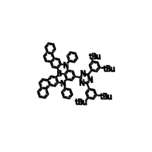 CC(C)(C)c1cc(-c2nc(-c3cc(C(C)(C)C)cc(C(C)(C)C)c3)nc(-c3cc4c5c(c3)N(c3ccccc3)c3cc6c(ccc7ccccc76)cc3B5c3cc5ccc6ccccc6c5cc3N4c3ccccc3)n2)cc(C(C)(C)C)c1